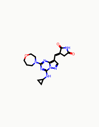 O=C1C/C(=C\c2cnn3c(NC4CC4)nc(N4CCCOCC4)nc23)C(=O)N1